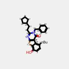 CCCCc1ccc(O)c2sc3nc(CCC4CCCC4)n(Cc4ccccc4)c(=O)c3c12